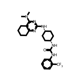 CN(C)c1nc(N[C@H]2CC[C@@H](NC(=O)Nc3ccccc3C(F)(F)F)CC2)nc2c1CCCC2